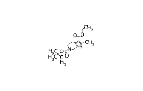 CCOC(=O)c1c(C)sc2c1CCN(C(=O)OC(C)(C)C)C2